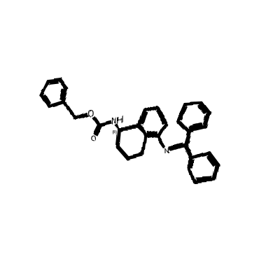 O=C(N[C@@H]1CCCc2c(N=C(c3ccccc3)c3ccccc3)cccc21)OCc1ccccc1